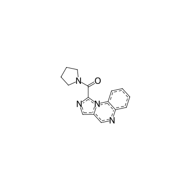 O=C(c1ncc2cnc3ccccc3n12)N1CCCC1